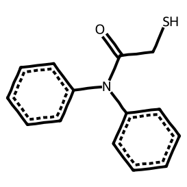 O=C(CS)N(c1ccccc1)c1ccccc1